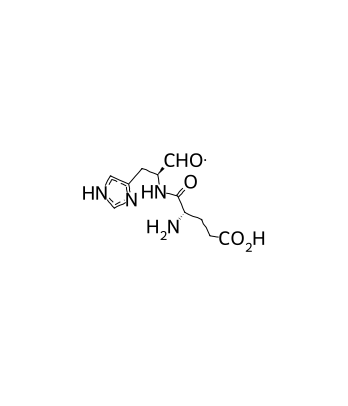 N[C@@H](CCC(=O)O)C(=O)N[C@H]([C]=O)Cc1c[nH]cn1